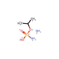 CC(C)OP(N)(=O)O.N